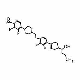 CCCC(O)C1CC=C(c2ccc(CCC3CCC(c4ccc(C5CO5)c(F)c4F)CC3)c(F)c2F)CC1